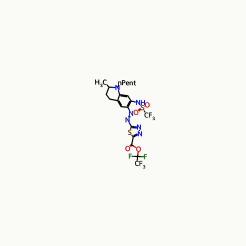 CCCCCN1c2cc(NS(=O)(=O)C(F)(F)F)c(N=Nc3nnc(C(=O)OC(F)(F)C(F)(F)F)s3)cc2CCC1C